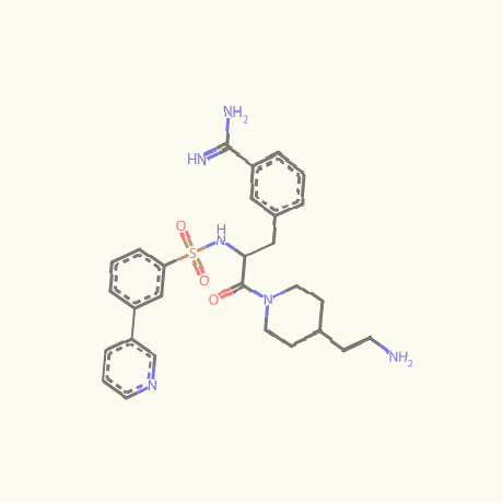 N=C(N)c1cccc(CC(NS(=O)(=O)c2cccc(-c3cccnc3)c2)C(=O)N2CCC(CCN)CC2)c1